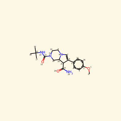 COc1ccc(C2=CN3CCN(C(=O)NC(C)(C)C)CC3C2C(N)=O)cc1